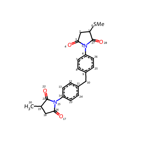 CSC1CC(=O)N(c2ccc(Cc3ccc(N4C(=O)CC(C)C4=O)cc3)cc2)C1=O